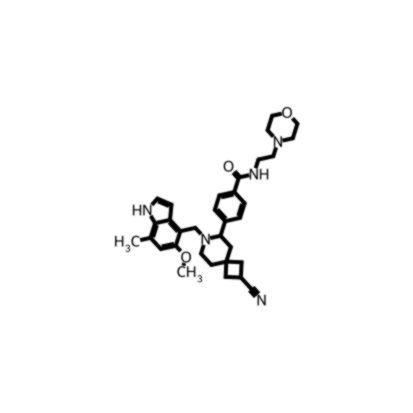 COc1cc(C)c2[nH]ccc2c1CN1CCC2(CC(C#N)C2)CC1c1ccc(C(=O)NCCN2CCOCC2)cc1